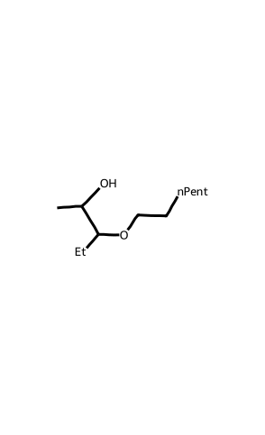 CCCCCCCOC(CC)C(C)O